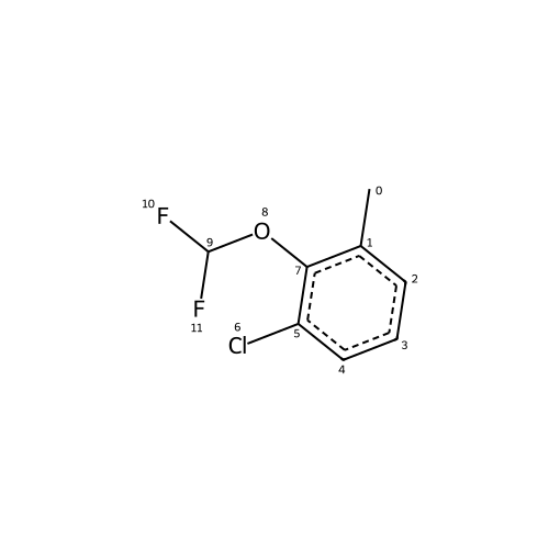 Cc1cccc(Cl)c1OC(F)F